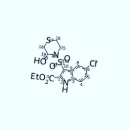 CCOC(=O)c1[nH]c2ccc(Cl)cc2c1S(=O)(=O)N1CCSCC1O